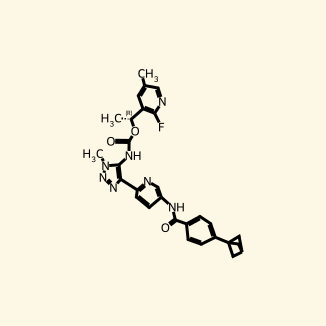 Cc1cnc(F)c([C@@H](C)OC(=O)Nc2c(-c3ccc(NC(=O)c4ccc(C56CC(C5)C6)cc4)cn3)nnn2C)c1